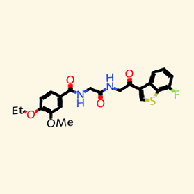 CCOc1ccc(C(=O)NCC(=O)NCC(=O)c2csc3c(F)cccc23)cc1OC